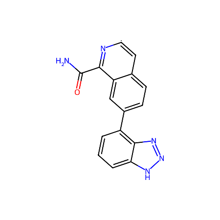 NC(=O)c1n[c]cc2ccc(-c3cccc4[nH]nnc34)cc12